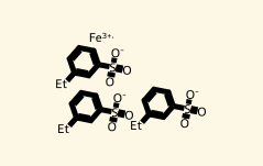 CCc1cccc(S(=O)(=O)[O-])c1.CCc1cccc(S(=O)(=O)[O-])c1.CCc1cccc(S(=O)(=O)[O-])c1.[Fe+3]